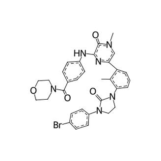 Cc1c(-c2cn(C)c(=O)c(Nc3ccc(C(=O)N4CCOCC4)cc3)n2)cccc1N1CCN(c2ccc(Br)cc2)C1=O